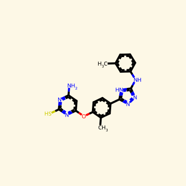 Cc1cccc(Nc2nnc(-c3ccc(Oc4cc(N)nc(S)n4)c(C)c3)[nH]2)c1